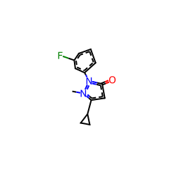 Cn1c(C2CC2)cc(=O)n1-c1cccc(F)c1